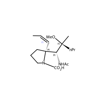 C/C=C\[C@@]1([C@@H](NC(C)=O)[C@](C)(CCC)OC)CCCN1C(=O)O